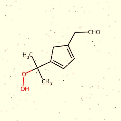 CC(C)(OO)C1=CC=C(CC=O)C1